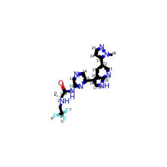 C[C@@H](NCC(F)(F)F)C(=O)Nc1cncc(-c2c[nH]c3ncc(-c4ccnn4C)cc23)n1